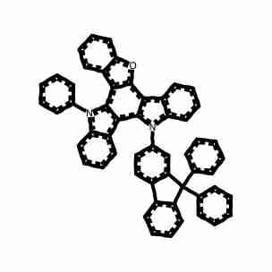 c1ccc(-n2c3ccccc3c3c4c(c5ccccc5n4-c4ccc5c(c4)C(c4ccccc4)(c4ccccc4)c4ccccc4-5)c4oc5ccccc5c4c32)cc1